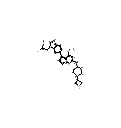 COc1nc(NC2CCN(C3COC3)CC2)nn2ccc(-c3ccc4ncn(CC(F)F)c4c3)c12